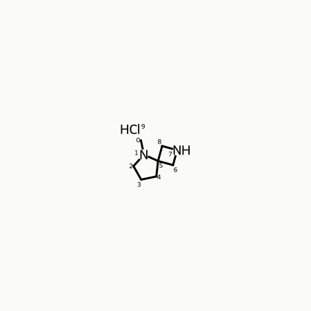 CN1CCCC12CNC2.Cl